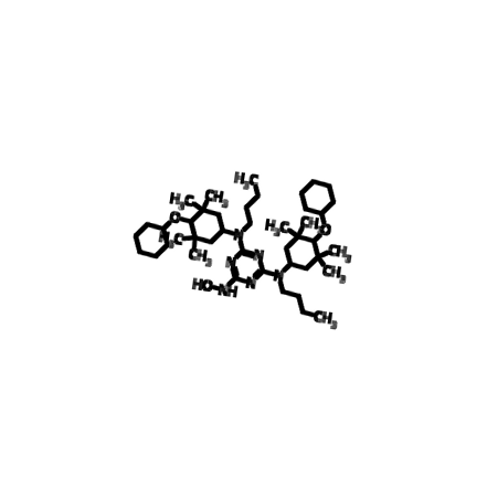 CCCCN(c1nc(NO)nc(N(CCCC)C2CC(C)(C)C(OC3CCCCC3)C(C)(C)C2)n1)C1CC(C)(C)C(OC2CCCCC2)C(C)(C)C1